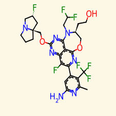 Cc1nc(N)cc(-c2nc3c4c(nc(OC[C@@]56CCCN5C[C@H](F)C6)nc4c2F)N(CC(F)F)[C@@H](CCO)CO3)c1C(F)(F)F